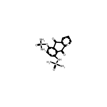 NP(N)(=O)Nc1ccc(OP(N)(N)=O)c2c1C(=O)c1ccccc1C2=O